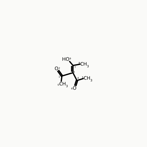 CC(=O)C(C(C)=O)=C(C)O